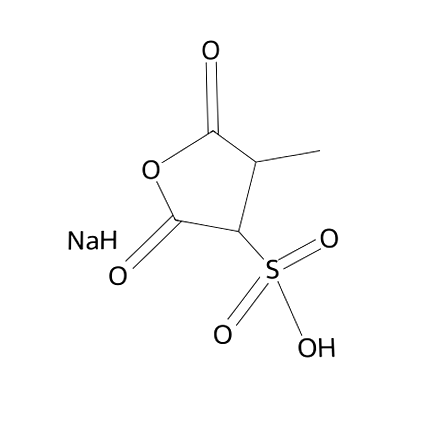 CC1C(=O)OC(=O)C1S(=O)(=O)O.[NaH]